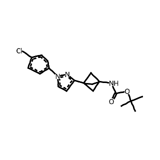 CC(C)(C)OC(=O)NC12CC(c3ccn(-c4ccc(Cl)cc4)n3)(C1)C2